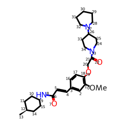 COc1cc(/C=C/C(=O)N[C@H]2CC[C@H](C)CC2)ccc1OCC(=O)N1CCC(N2CCCCC2)CC1